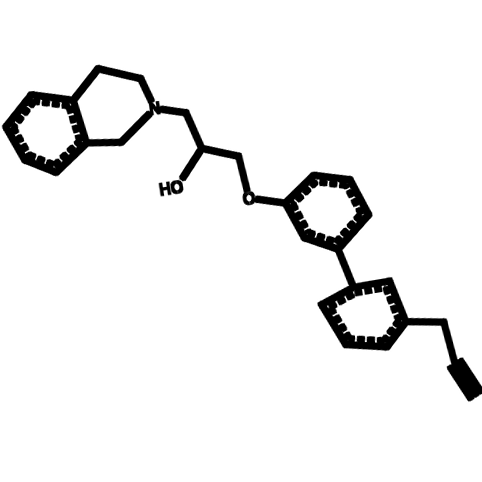 C#CCc1cccc(-c2cccc(OCC(O)CN3CCc4ccccc4C3)c2)c1